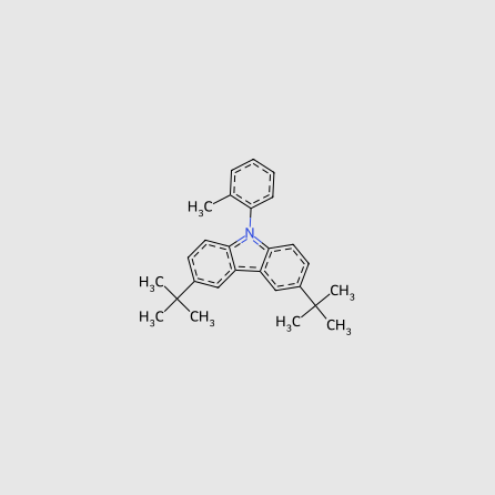 Cc1ccccc1-n1c2ccc(C(C)(C)C)cc2c2cc(C(C)(C)C)ccc21